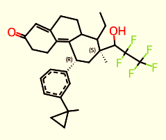 CCC1C2CCC3=CC(=O)CCC3=C2[C@@H](c2cccc(C3(C)CC3)c2)C[C@]1(C)C(O)C(F)(F)C(F)(F)F